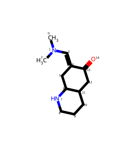 CN(C)/C=C1\CC2NCCCC2CC1=O